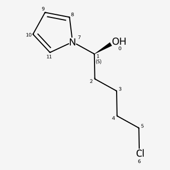 O[C@@H](CCCCCl)n1cccc1